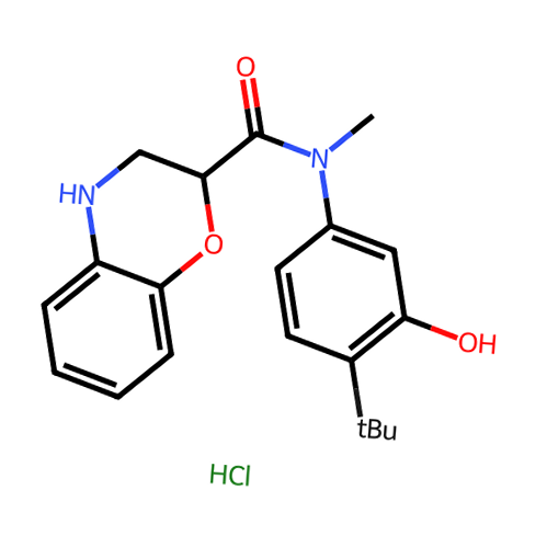 CN(C(=O)C1CNc2ccccc2O1)c1ccc(C(C)(C)C)c(O)c1.Cl